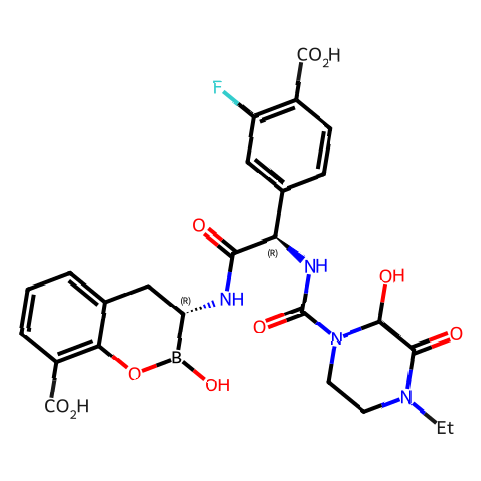 CCN1CCN(C(=O)N[C@@H](C(=O)N[C@H]2Cc3cccc(C(=O)O)c3OB2O)c2ccc(C(=O)O)c(F)c2)C(O)C1=O